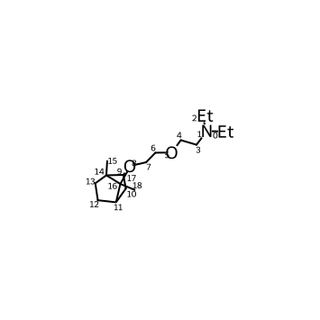 CCN(CC)CCOCCOC1CC2CCC1(C)C2(C)C